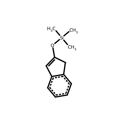 C[Si](C)(C)OC1=Cc2ccccc2[CH]1